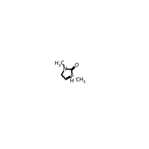 CN1CC=[PH](C)C1=O